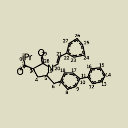 CC(C)C(=O)[C@@H]1CC(Cc2ccc(-c3ccccc3)cc2)N(C=Cc2ccccc2)C1=O